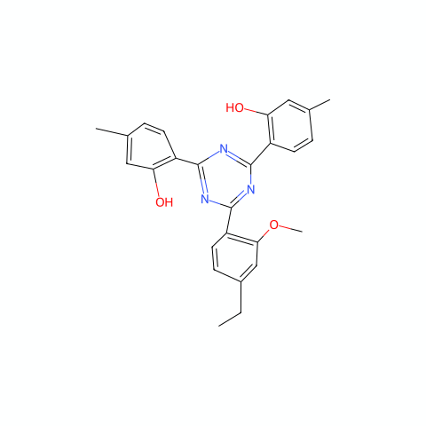 CCc1ccc(-c2nc(-c3ccc(C)cc3O)nc(-c3ccc(C)cc3O)n2)c(OC)c1